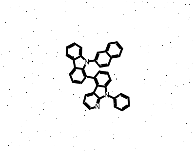 c1ccc(-n2c3cccc(-c4cccc5c6ccccc6n(-c6ccc7ccccc7c6)c45)c3c3cccnc32)cc1